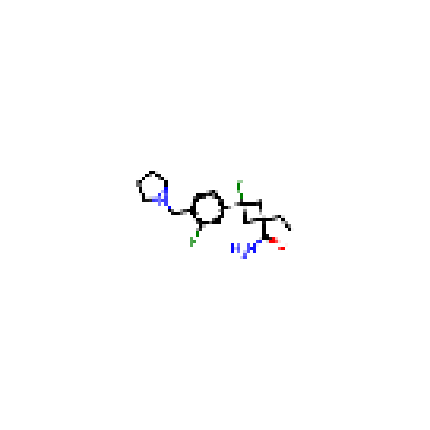 CCC1(C(N)=O)CC(F)(c2ccc(CN3CCCC3)c(F)c2)C1